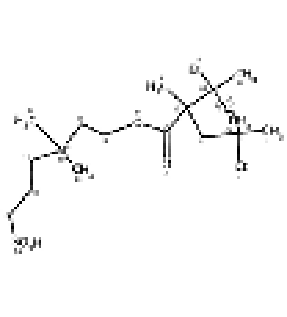 CCC(C)(C)CC(C)(C(=O)OCC[N+](C)(C)CCCS(=O)(=O)O)C(C)(C)CC